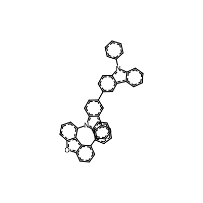 c1ccc(-c2cccc3oc4cccc(-n5c6ccccc6c6cc(-c7ccc8c(c7)c7ccccc7n8-c7ccccc7)ccc65)c4c23)cc1